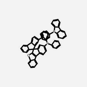 c1ccc(N(c2ccccc2)c2ccc3c(c2)C2(c4ccccc4-c4ccc(-c5ccc(-n6c7ccccc7c7ccccc76)cc5)cc42)c2oc4ccccc4c2-3)cc1